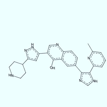 Cc1cccc(-c2[nH]cnc2-c2ccc3ncc(-c4cc(C5CCNCC5)n[nH]4)c(O)c3c2)n1